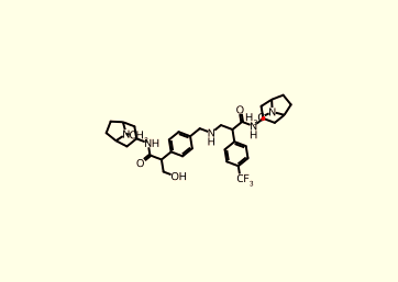 CN1C2CCC1CC(NC(=O)C(CO)c1ccc(CNCC(C(=O)NC3CC4CCC(C3)N4C)c3ccc(C(F)(F)F)cc3)cc1)C2